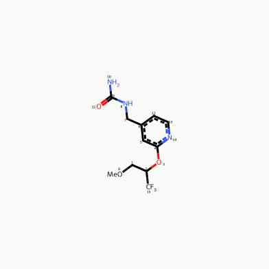 COCC(Oc1cc(CNC(N)=O)ccn1)C(F)(F)F